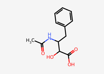 CC(=O)NC(Cc1ccccc1)C(O)C(=O)O